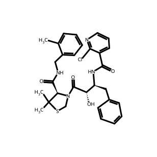 Cc1ccccc1CNC(=O)[C@H]1N(C(=O)[C@@H](O)[C@H](Cc2ccccc2)NC(=O)c2cccnc2Cl)CSC1(C)C